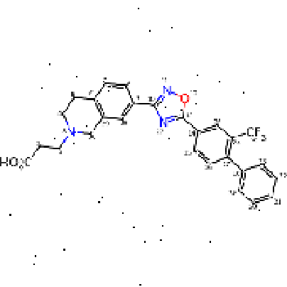 O=C(O)CCN1CCc2ccc(-c3noc(-c4ccc(-c5ccccc5)c(C(F)(F)F)c4)n3)cc2C1